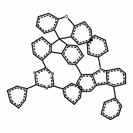 c1ccc(-c2nc(-c3ccccc3)nc(-c3cccc4c3-c3cc(-c5cccc6c7c(-c8ccccc8)cccc7n(-c7ccccc7)c56)ccc3C43c4ccccc4Oc4ccccc43)n2)cc1